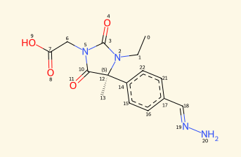 CCN1C(=O)N(CC(=O)O)C(=O)[C@]1(C)c1ccc(C=NN)cc1